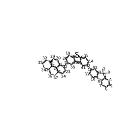 CC1(C)c2ccccc2-c2ccc(-c3ccc4sc5ccc(-c6ccc7c8c9c(ccc68)C=CCC9=CC7)cc5c4c3)cc21